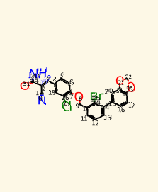 N#C/C(=C\c1ccc(OCc2cccc(-c3ccc4c(c3)OCO4)c2Br)c(Cl)c1)C(N)=O